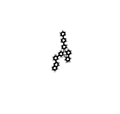 c1ccc(-c2ccc(-c3ccc(N(c4ccc(-c5cccc(-c6ccc7ccccc7c6)c5)cc4)c4cccc5c4oc4ccccc45)cc3)cc2)cc1